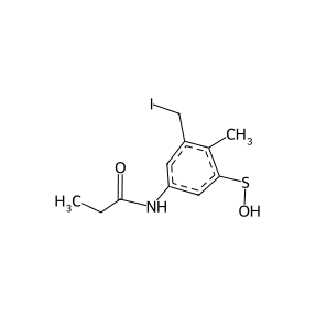 CCC(=O)Nc1cc(CI)c(C)c(SO)c1